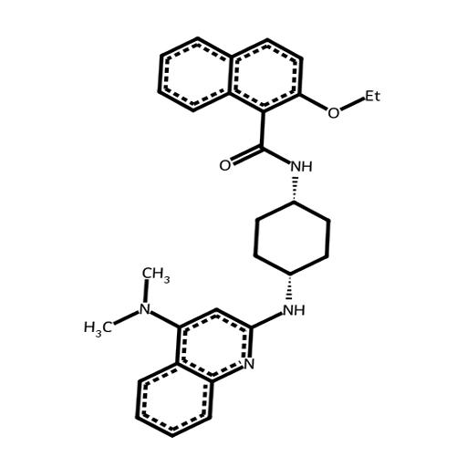 CCOc1ccc2ccccc2c1C(=O)N[C@H]1CC[C@@H](Nc2cc(N(C)C)c3ccccc3n2)CC1